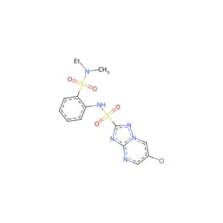 CCN(C)S(=O)(=O)c1ccccc1NS(=O)(=O)c1nc2ncc(Cl)cn2n1